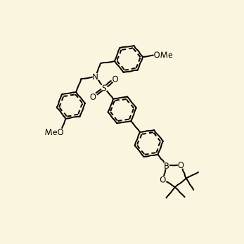 COc1ccc(CN(Cc2ccc(OC)cc2)S(=O)(=O)c2ccc(-c3ccc(B4OC(C)(C)C(C)(C)O4)cc3)cc2)cc1